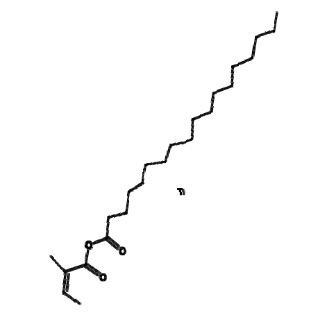 CC=C(C)C(=O)OC(=O)CCCCCCCCCCCCCCCCC.[Ti]